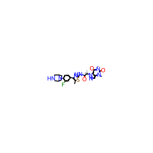 Cc1sc(NC(=O)[C@H](C)n2ncc3c2c(=O)n(C)c(=O)n3C)nc1-c1ccc(N2C3CCC2CNC3)c(F)c1